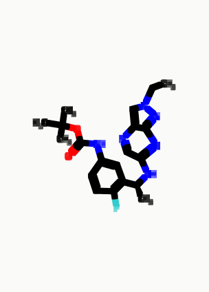 CCn1cc2ncc(N[C@@H](C)c3cc(NC(=O)OC(C)(C)C)ccc3F)nc2n1